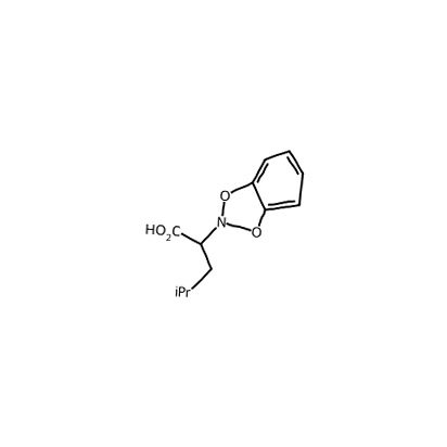 CC(C)CC(C(=O)O)N1Oc2ccccc2O1